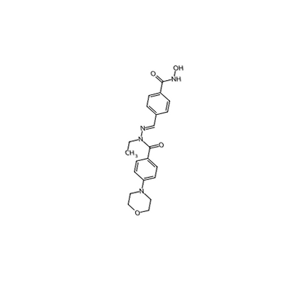 CCN(N=Cc1ccc(C(=O)NO)cc1)C(=O)c1ccc(N2CCOCC2)cc1